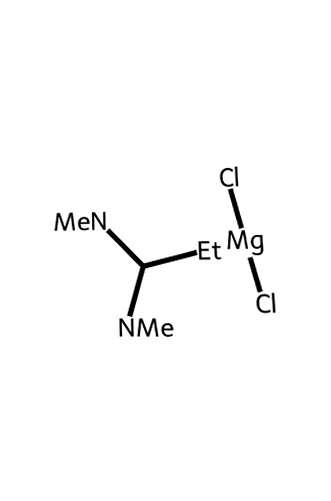 [CH2]CC(NC)NC.[Cl][Mg][Cl]